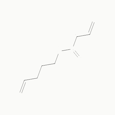 C=CCCCOS(=O)CC=C